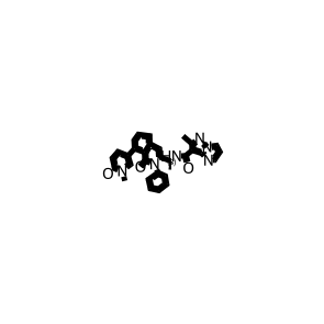 Cc1nn2cccnc2c1C(=O)N[C@@H](C)c1cc2cccc(-c3ccc(=O)n(C)c3)c2c(=O)n1-c1ccccc1